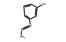 NN=Nc1cccc(S)c1